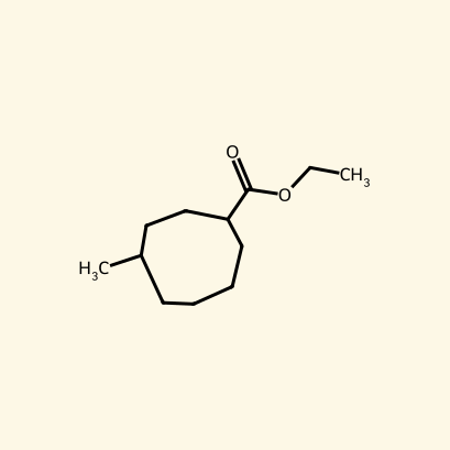 CCOC(=O)C1CCCCC(C)CC1